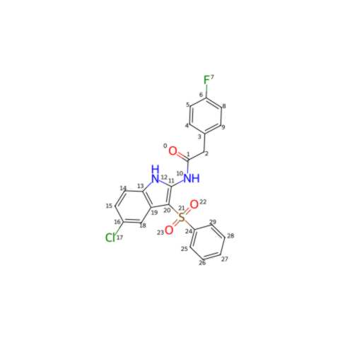 O=C(Cc1ccc(F)cc1)Nc1[nH]c2ccc(Cl)cc2c1S(=O)(=O)c1ccccc1